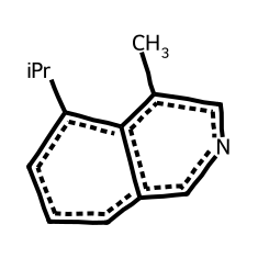 Cc1cncc2cccc(C(C)C)c12